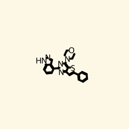 c1ccc(-c2cc3nc(-c4cccc5[nH]ncc45)nc(N4CCOCC4)c3s2)cc1